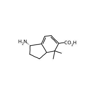 CC1(C)C(C(=O)O)=CC=C2C1CC[C@@H]2N